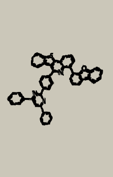 c1ccc(-c2cc(-c3ccccc3)nc(-c3ccc(-c4nc5c(-c6cccc7c6oc6ccccc67)cccc5c5sc6ccccc6c45)cc3)n2)cc1